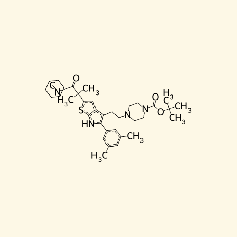 Cc1cc(C)cc(-c2[nH]c3sc(C(C)(C)C(=O)N4CC5CCC4CC5)cc3c2CCN2CCN(C(=O)OC(C)(C)C)CC2)c1